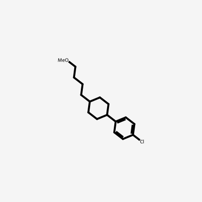 COCCCCC1CCC(c2ccc(Cl)cc2)CC1